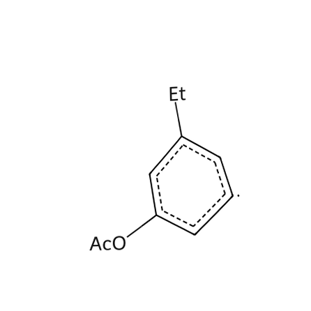 CCc1c[c]cc(OC(C)=O)c1